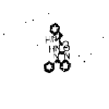 O=C(Nc1nc(-c2ccccc2)c2ccccc2nc1=O)c1cc2ccccc2[nH]1